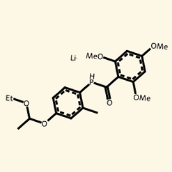 CCOC(C)Oc1ccc(PC(=O)c2c(OC)cc(OC)cc2OC)c(C)c1.[Li]